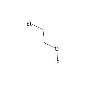 CCCCOF